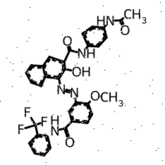 COc1ccc(C(=O)Nc2ccccc2C(F)(F)F)cc1N=Nc1c(O)c(C(=O)Nc2ccc(NC(C)=O)cc2)cc2ccccc12